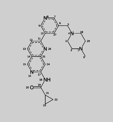 CN1CCN(Cc2cncc(-c3ccc4cnc(NC(=O)C5CC5)cc4n3)c2)CC1